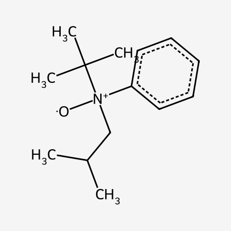 CC(C)C[N+]([O])(c1ccccc1)C(C)(C)C